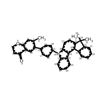 Cc1cc2occc(=O)c2cc1-c1ccc(-n2c3ccccc3c3c4c(ccc32)C(C)(C)c2ccccc2-4)cc1